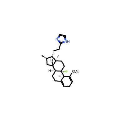 CSC1=CCC=C2CC[C@H]3[C@@H]4C[C@@H](C)[C@H](CCc5ncc[nH]5)[C@@]4(C)CC[C@]3(F)[C@]21C